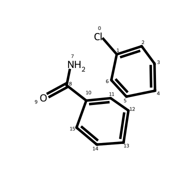 Clc1ccccc1.NC(=O)c1ccccc1